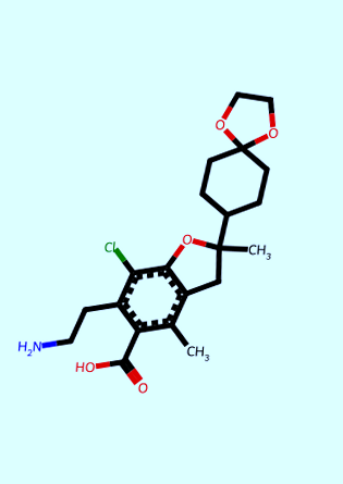 Cc1c2c(c(Cl)c(CCN)c1C(=O)O)OC(C)(C1CCC3(CC1)OCCO3)C2